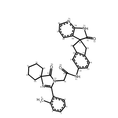 Cc1ccccc1C1=NC2(CCCCC2)C(=O)N1CC(=O)Nc1ccc2c(c1)CC1(C2)C(=O)Nc2ncccc21